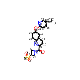 CS(=O)(=O)C1CN(C(=O)c2ccc3cc(Oc4ccc(C(F)(F)F)cn4)ccc3n2)C1